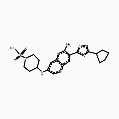 CS(=O)(=O)N1CCC(Nc2cnc3cc(-c4nnc(C5CCCC5)s4)c(N)nc3c2)CC1